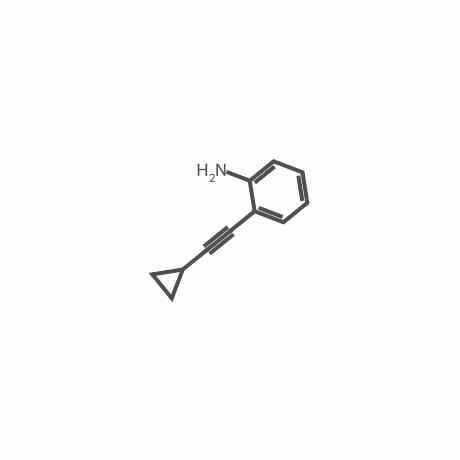 Nc1ccccc1C#CC1CC1